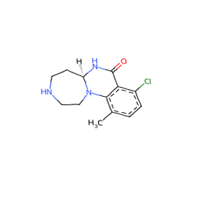 Cc1ccc(Cl)c2c1N1CCNCC[C@H]1NC2=O